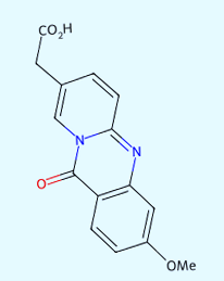 COc1ccc2c(=O)n3cc(CC(=O)O)ccc3nc2c1